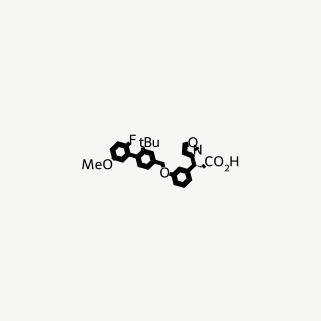 COc1ccc(F)c(-c2ccc(COc3cccc([C@@H](CC(=O)O)c4ccon4)c3)cc2C(C)(C)C)c1